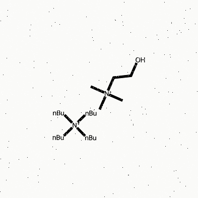 CCCC[N+](CCCC)(CCCC)CCCC.C[N+](C)(C)CCO